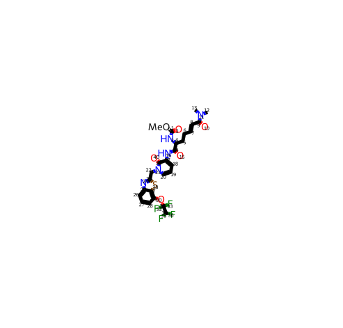 COC(=O)NC(CC/C=C/C(=O)N(C)C)C(=O)Nc1cccn(Cc2nc3cccc(OC(F)(F)C(F)F)c3s2)c1=O